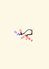 C[C@@H](CCC(N)=O)CC(O)O